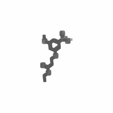 CCOC(=O)CCOc1cc(OC)cc([N+](=O)[O-])c1